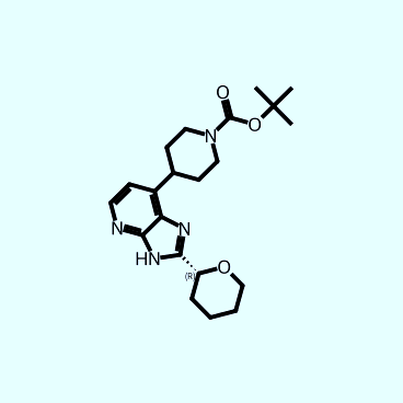 CC(C)(C)OC(=O)N1CCC(c2ccnc3[nH]c([C@H]4CCCCO4)nc23)CC1